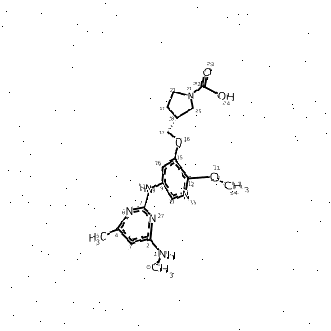 CNc1cc(C)nc(Nc2cnc(OC)c(OC[C@@H]3CCN(C(=O)O)C3)c2)n1